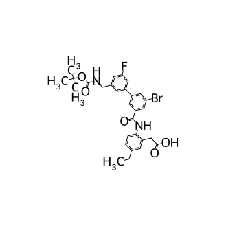 CCc1ccc(NC(=O)c2cc(Br)cc(-c3cc(F)cc(CNC(=O)OC(C)(C)C)c3)c2)c(CC(=O)O)c1